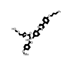 CCCCOc1ccc(C(=O)N[C@@H](Cc2ccc(-c3ncc(-c4ccc(OCCCC(C)C)cc4)cn3)cc2)C(=O)N2CC(COCO)C2)cc1